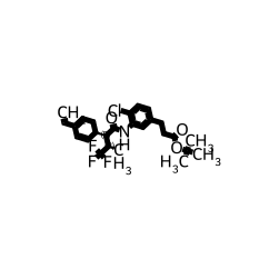 C=CC1=CCC([C@@H](C(=O)Nc2cc(CCC(=O)OC(C)(C)C)ccc2Cl)[C@@H](C)C(F)(F)F)C=C1